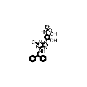 CCC(=O)NC1CC(n2cnc3c(NCC(c4ccccc4)c4ccccc4)nc(Cl)nc32)C(O)C1O